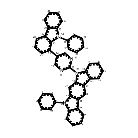 c1ccc(-n2c3ccccc3c3cc4c5ccccc5n(-c5ncc(-c6cccc7c8ccccc8n(-c8ccccc8)c67)cn5)c4cc32)cc1